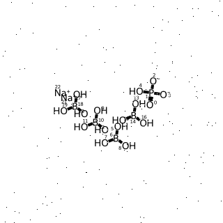 O=P([O-])([O-])O.OB(O)O.OB(O)O.OB(O)O.OB(O)O.[Na+].[Na+]